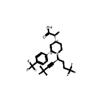 CC(C(=O)O)[C@@H]1CCN([C@H](C#CC(C)(C)C)CCC(F)(F)F)[C@H](c2ccc(C(F)(F)F)cc2)C1